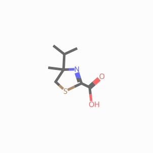 CC(C)C1(C)CSC(C(=O)O)=N1